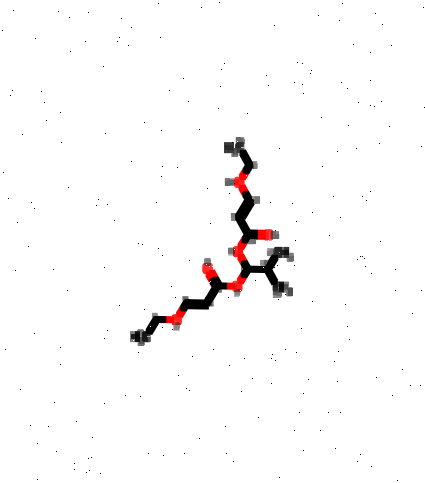 CCOC=CC(=O)OC(OC(=O)C=COCC)C(C)C